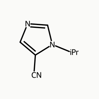 CC(C)n1cncc1C#N